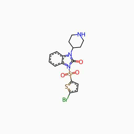 O=c1n(C2CCNCC2)c2ccccc2n1S(=O)(=O)c1ccc(Br)s1